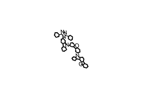 c1ccc(-c2nnc(-c3ccccc3)n2-c2ccc3c4ccccc4n(-c4ccc5oc6ccc(-n7c8ccccc8c8c9oc%10ccccc%10c9ccc87)cc6c5c4)c3c2)cc1